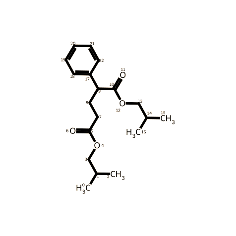 CC(C)COC(=O)CCC(C(=O)OCC(C)C)c1ccccc1